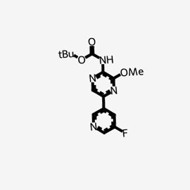 COc1nc(-c2cncc(F)c2)cnc1NC(=O)OC(C)(C)C